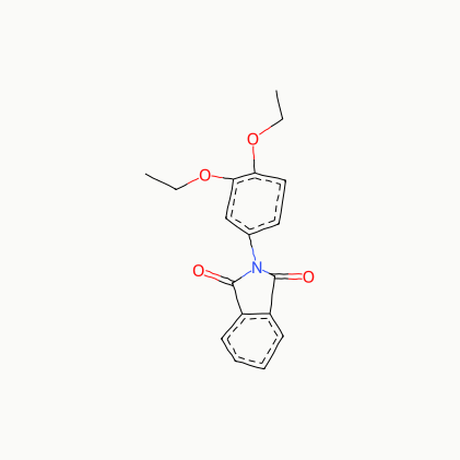 CCOc1ccc(N2C(=O)c3ccccc3C2=O)cc1OCC